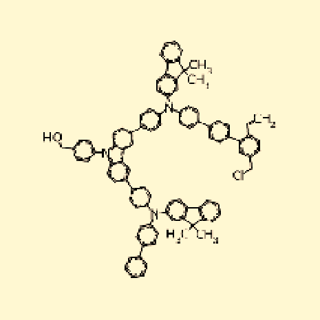 C=Cc1ccc(CCl)cc1-c1ccc(-c2ccc(N(c3ccc(-c4ccc5c(c4)c4cc(-c6ccc(N(c7ccc(-c8ccccc8)cc7)c7ccc8c(c7)C(C)(C)c7ccccc7-8)cc6)ccc4n5-c4ccc(CO)cc4)cc3)c3ccc4c(c3)C(C)(C)c3ccccc3-4)cc2)cc1